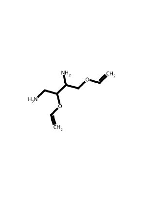 C=COCC(N)C(CN)OC=C